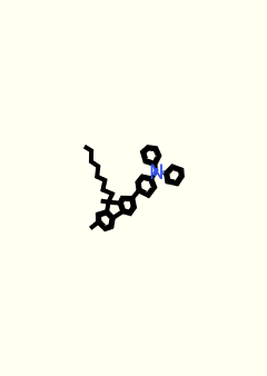 CCCCCCCCC1(C)c2cc(C)ccc2-c2ccc(-c3ccc(N(c4ccccc4)c4ccccc4)cc3)cc21